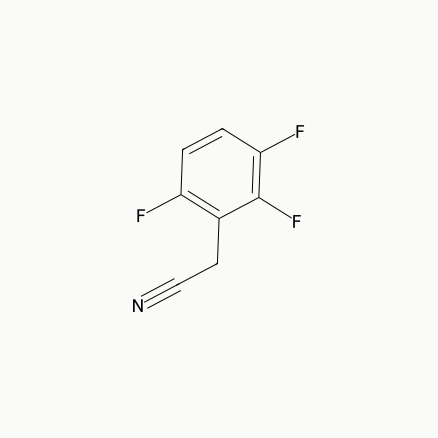 N#CCc1c(F)ccc(F)c1F